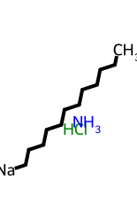 CCCCCCCCCCC[CH2][Na].Cl.N